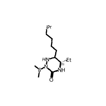 CC[C@@H]1NC(=O)N(B(C)C)NC1CCCCC(C)C